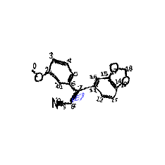 COc1cccc(/C(=C\C#N)c2ccc3c(c2)OCO3)c1